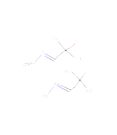 CC(C)(C)N=CC(C)([O-])C(C)(C)C.CC(C)(C)N=CC(C)([O-])C(C)(C)C.[Mn+2]